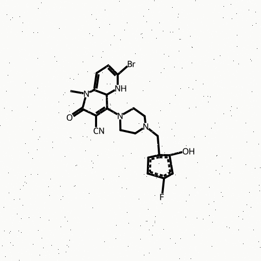 CN1C(=O)C(C#N)=C(N2CCN(Cc3ccc(F)cc3O)CC2)C2NC(Br)=CC=C21